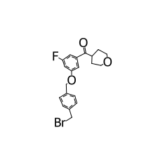 O=C(c1cc(F)cc(OCc2ccc(CBr)cc2)c1)C1CCOCC1